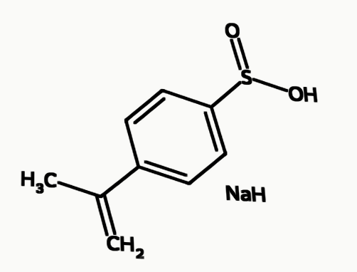 C=C(C)c1ccc(S(=O)O)cc1.[NaH]